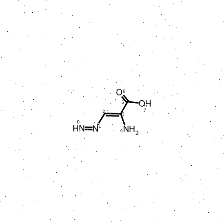 N=N/C=C(\N)C(=O)O